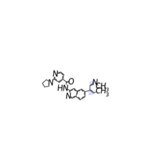 C/C=C(\C=N/C)c1ccc2cnc(NC(=O)c3ccnc(N4CCCC4)c3)cc2c1